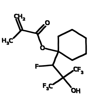 C=C(C)C(=O)OC1(C(F)C(O)(C(F)(F)F)C(F)(F)F)CCCCC1